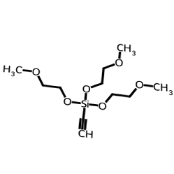 C#C[Si](OCCOC)(OCCOC)OCCOC